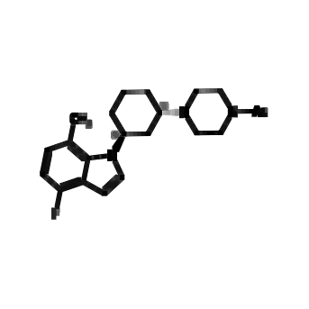 CC(=O)N1CCN([C@H]2CCC[C@H](n3ccc4c(F)ccc(C)c43)C2)CC1